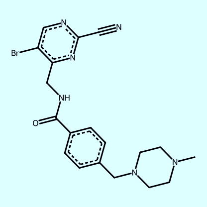 CN1CCN(Cc2ccc(C(=O)NCc3nc(C#N)ncc3Br)cc2)CC1